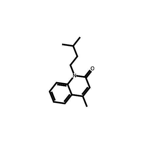 Cc1cc(=O)n(CCC(C)C)c2ccccc12